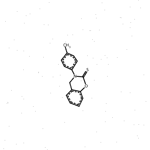 Cc1ccc(N2Cc3ccccc3OC2=S)cc1